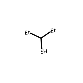 [CH2]CC(S)CC